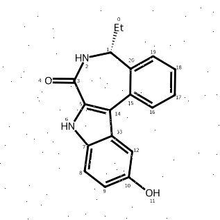 CC[C@H]1NC(=O)c2[nH]c3ccc(O)cc3c2-c2ccccc21